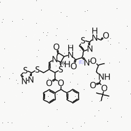 CC(CNC(=O)OC(C)(C)C)O/N=C(/C(=O)NC1C(=O)N2C=C(CSc3nncs3)C(C(=O)OC(c3ccccc3)c3ccccc3)S[C@H]12)c1csc(NC=O)n1